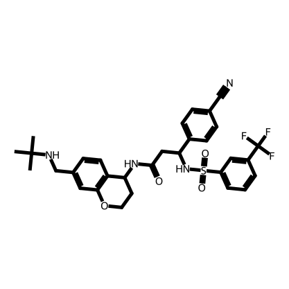 CC(C)(C)NCc1ccc2c(c1)OCCC2NC(=O)CC(NS(=O)(=O)c1cccc(C(F)(F)F)c1)c1ccc(C#N)cc1